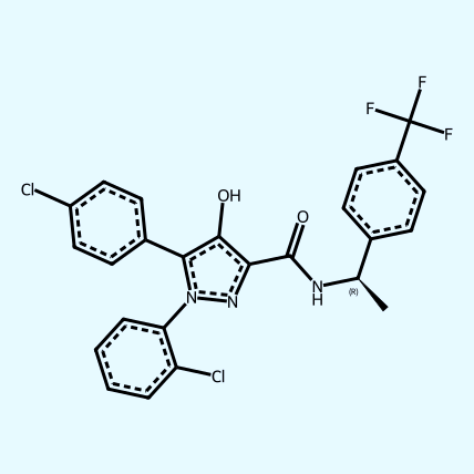 C[C@@H](NC(=O)c1nn(-c2ccccc2Cl)c(-c2ccc(Cl)cc2)c1O)c1ccc(C(F)(F)F)cc1